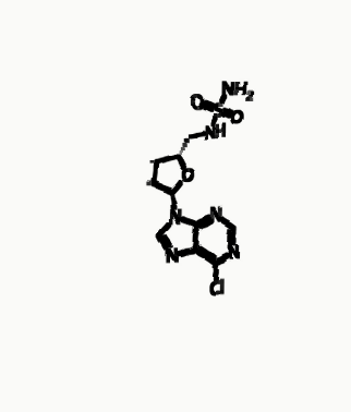 NS(=O)(=O)NC[C@H]1[CH][CH][C@H](n2cnc3c(Cl)ncnc32)O1